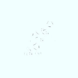 CCCCn1c(-c2ccccc2)nc(-c2ccccc2)c1CN(Cc1ccc(C(N)=O)c(O)c1)CC1CCCCC1